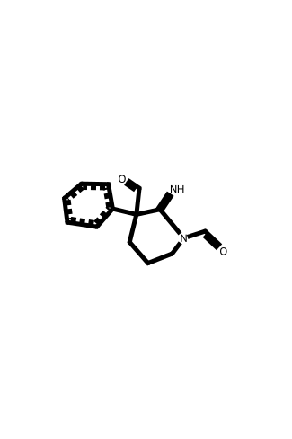 N=C1N(C=O)CCCC1(C=O)c1ccccc1